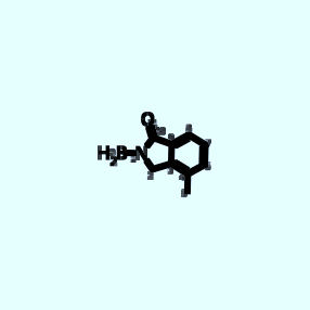 BN1Cc2c(C)cccc2C1=O